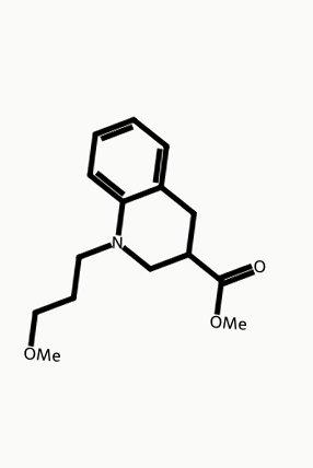 COCCCN1CC(C(=O)OC)Cc2ccccc21